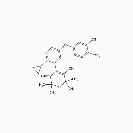 CC1(C)OC(C)(C)C(O)=C(c2cc(Oc3ccc(C(F)(F)F)c(C#N)c3)ccc2C2CC2)C1=O